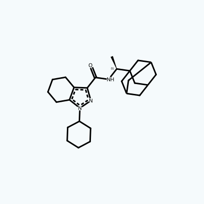 C[C@H](NC(=O)c1nn(C2CCCCC2)c2c1CCCC2)C12CC3CC(CC(C3)C1)C2